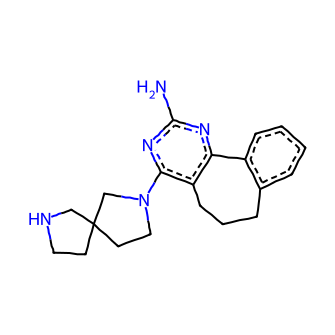 Nc1nc2c(c(N3CCC4(CCNC4)C3)n1)CCCc1ccccc1-2